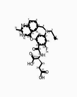 C#CCN(Cc1ccc2nc(C)[nH]c(=O)c2c1)c1ccc(C(=O)N[C@@H](CCC(=O)O)C(=O)O)c(F)c1